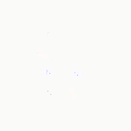 O=C1NC([N+](=O)[O-])C(=O)Nc2cc(F)cc(F)c21